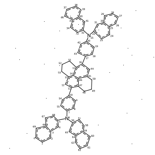 c1ccc2cc(N(c3ccc(-c4cc5c6c(c(-c7ccc(N(c8ccc9ccccc9c8)c8ccc9ccccc9c8)cc7)cc7c6c4CCC7)CCC5)cc3)c3ccc4ccccc4c3)ccc2c1